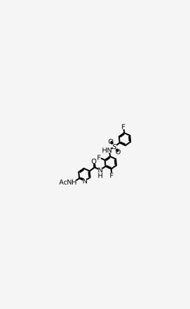 CC(=O)Nc1ccc(C(=O)Nc2c(F)ccc(NS(=O)(=O)c3cccc(F)c3)c2F)cn1